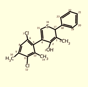 CC1=C(O)C(c2c(Cl)cc(C)c(Cl)c2C)=CSC1c1ccccc1